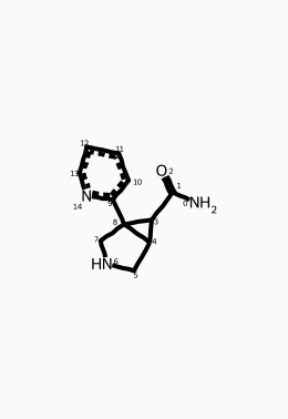 NC(=O)C1C2CNCC21c1ccccn1